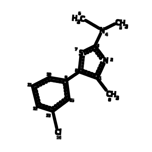 Cc1nc(N(C)C)sc1-c1cccc(Cl)c1